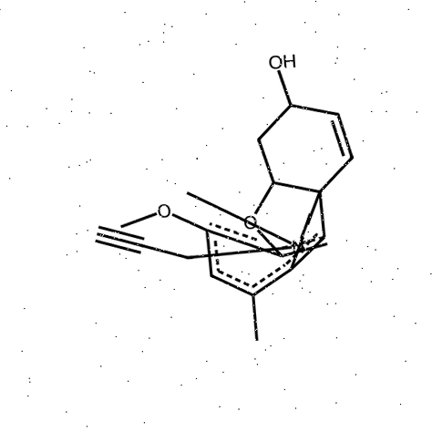 C#CC[N+]1(C)CCC23C=CC(O)CC2Oc2c(OC)cc(C)c(c23)C1